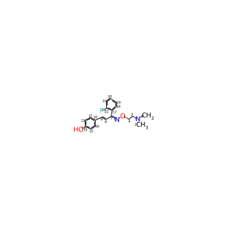 CN(C)CCO/N=C(/C=Cc1ccc(O)cc1)c1ccccc1F